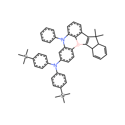 CC1(C)C2=C(B3c4ccc(N(c5ccc([Si](C)(C)C)cc5)c5ccc([Si](C)(C)C)cc5)cc4N(c4ccccc4)c4cccc2c43)C2C=CC=CC21